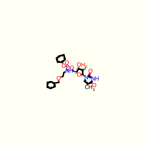 Cc1cn([C@H]2O[C@@H](COP(=O)(NCCOCc3ccccc3)Oc3ccccc3)[C@H](O)[C@H]2F)c(=O)[nH]c1=O